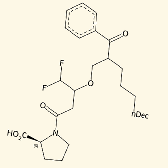 CCCCCCCCCCCCCC(COC(CC(=O)N1CCC[C@H]1C(=O)O)C(F)F)C(=O)c1ccccc1